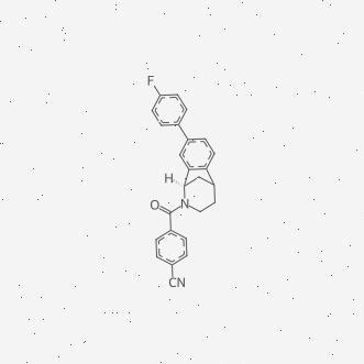 N#Cc1ccc(C(=O)N2CCC3C[C@@H]2c2cc(-c4ccc(F)cc4)ccc23)cc1